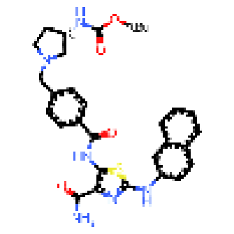 CC(C)(C)OC(=O)N[C@H]1CCN(Cc2ccc(C(=O)Nc3sc(Nc4ccc5ccccc5c4)nc3C(N)=O)cc2)C1